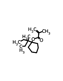 C=C(C)C(=O)OC1(C(C)(CC)CC)CCCCC1